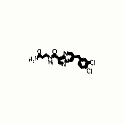 NC(=O)CCNC(=O)c1cnn2cc(Cc3ccc(Cl)c(Cl)c3)cnc12